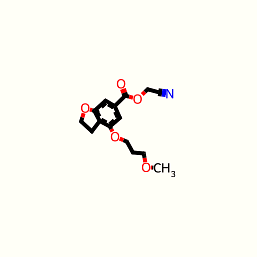 COCCCOc1cc(C(=O)OCC#N)cc2c1CCO2